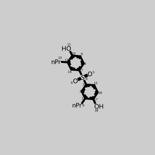 CCCc1cc(S(=O)(=O)c2ccc(O)c(CCC)c2)ccc1O